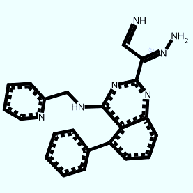 N=C/C(=N\N)c1nc(NCc2ccccn2)c2c(-c3ccccc3)cccc2n1